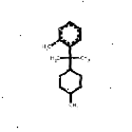 Cc1ccccc1C(C)(C)C1CCC(C)CC1